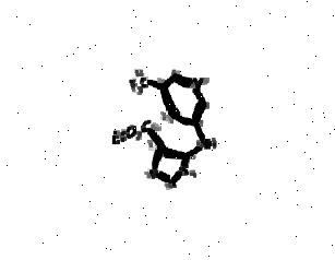 CCOC(=O)c1nnsc1Nc1cncc(C(F)(F)F)c1